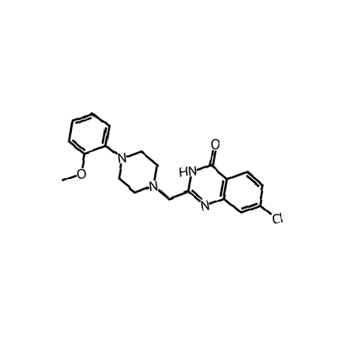 COc1ccccc1N1CCN(Cc2nc3cc(Cl)ccc3c(=O)[nH]2)CC1